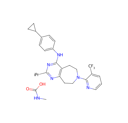 CC(C)c1nc2c(c(Nc3ccc(C4CC4)cc3)n1)CCN(c1ncccc1C(F)(F)F)CC2.CNC(=O)O